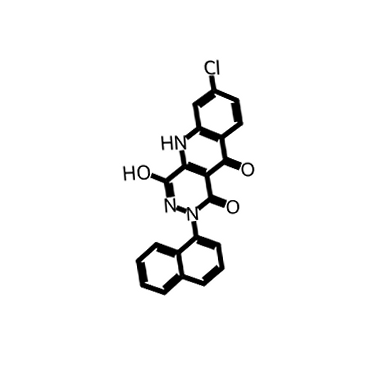 O=c1c2ccc(Cl)cc2[nH]c2c(O)nn(-c3cccc4ccccc34)c(=O)c12